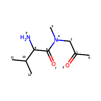 CC(=O)CN(C)C(=O)C(N)C(C)C